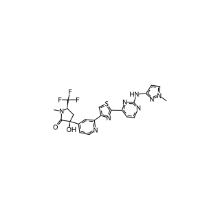 CN1C(=O)[C@@](O)(c2ccnc(-c3csc(-c4ccnc(Nc5ccn(C)n5)n4)n3)c2)C[C@@H]1C(F)(F)F